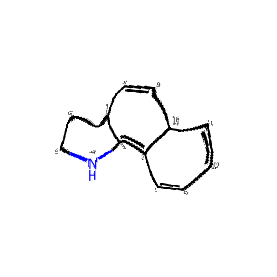 C1=CC2=C3NCCC3C=CC2C=C1